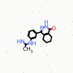 CC(=N)Nc1cccc(-c2n[nH]c(=O)c3c2CCCC3)c1